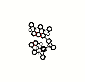 c1ccc(-c2cccc(-n3c4ccccc4c4cc(-n5c6ccccc6c6ccc(-c7cccc8c7Oc7ccccc7B8c7cccc(B8c9ccccc9Oc9ccccc98)c7-c7ccccc7)cc65)ccc43)c2B2c3ccccc3Oc3ccccc32)cc1